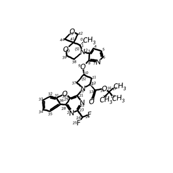 C[C@@H]1N(c2cccnc2O[C@H]2C[C@@H](C(=O)OC(C)(C)C)N(c3nc(C(F)F)nc4c3oc3ccccc34)C2)CCOC12COC2